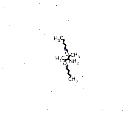 CCCC/C=C/OC(C)C(N)C(C)O/C=C/CCCC